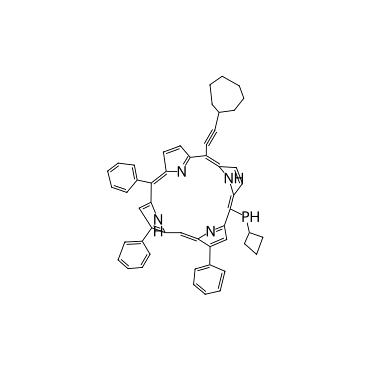 C(#CC1CCCCCC1)c1c2nc(c(-c3ccccc3)c3cc(-c4ccccc4)c(cc4nc(c(PC5CCC5)c5ccc1[nH]5)C=C4c1ccccc1)[nH]3)C=C2